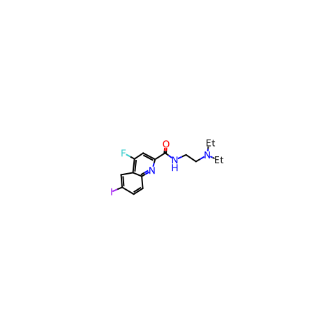 CCN(CC)CCNC(=O)c1cc(F)c2cc(I)ccc2n1